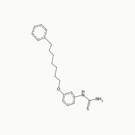 NC(=S)Nc1cccc(OCCCCCCCc2ccccc2)c1